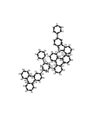 c1ccc(-c2ccc3c(c2)c2ccccc2n3-c2cccc3c4c(-c5nc(-c6ccccc6)nc(-c6ccc7c8ccccc8c8ccccc8c7c6)n5)cccc4c4ccccc4c23)cc1